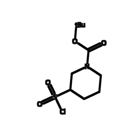 CC(C)(C)OC(=O)N1CCCC(S(=O)(=O)Cl)C1